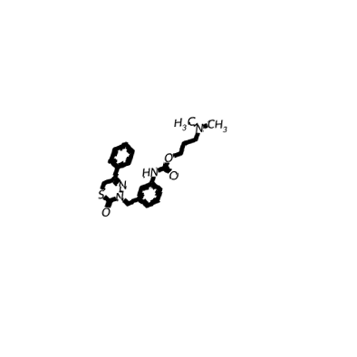 CN(C)CCCOC(=O)Nc1cccc(CN2N=C(c3ccccc3)CSC2=O)c1